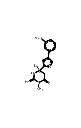 CC[C@@]1(c2cc(-c3cccc(OC)c3)cs2)CC(=O)N(C)C(=N)N1